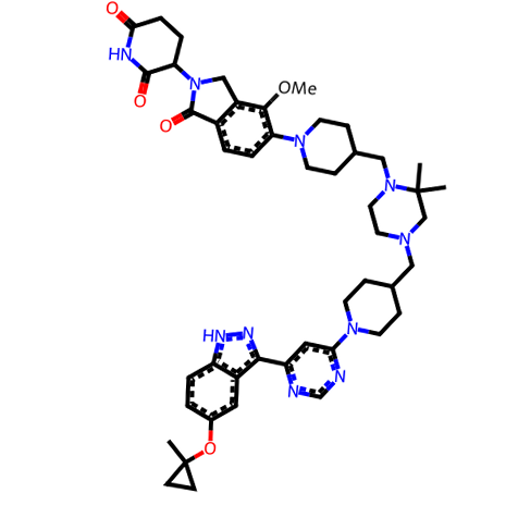 COc1c(N2CCC(CN3CCN(CC4CCN(c5cc(-c6n[nH]c7ccc(OC8(C)CC8)cc67)ncn5)CC4)CC3(C)C)CC2)ccc2c1CN(C1CCC(=O)NC1=O)C2=O